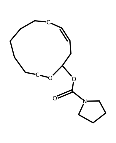 O=C(OC1CC=CCCCCCCCO1)N1CCCC1